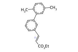 CCOC(=O)/C=C/c1cccc(-c2cc(C)ccc2C)c1